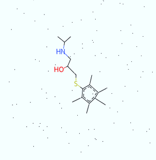 Cc1c(C)c(C)c(SCC(O)CNC(C)C)c(C)c1C